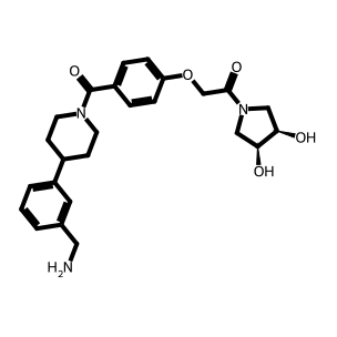 NCc1cccc(C2CCN(C(=O)c3ccc(OCC(=O)N4C[C@@H](O)[C@@H](O)C4)cc3)CC2)c1